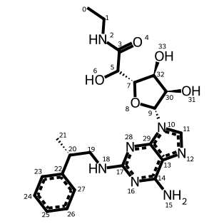 CCNC(=O)C(O)[C@H]1O[C@@H](n2cnc3c(N)nc(NC[C@@H](C)c4ccccc4)nc32)[C@H](O)[C@@H]1O